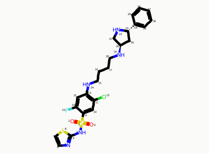 O=S(=O)(Nc1nccs1)c1cc(Cl)c(NCCCCN[C@H]2CN[C@H](c3ccccc3)C2)cc1F